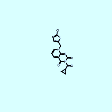 O=C(C1CC1)n1c(=O)nc2n(Cc3cnc(Cl)s3)cccc-2c1=O